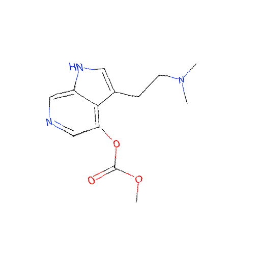 COC(=O)Oc1cncc2[nH]cc(CCN(C)C)c12